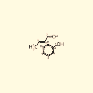 CC=CC=O.Oc1ccccc1